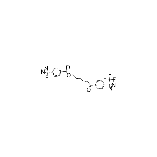 O=C(CCCCCOC(=O)c1ccc(C2(F)N=N2)cc1)c1ccc(C2(C(F)(F)F)N=N2)cc1